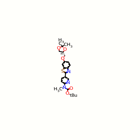 CN(C(=O)OC(C)(C)C)c1ccc(-c2nc3ccc(OC[C@@H]4COC(C)(C)O4)cc3s2)cn1